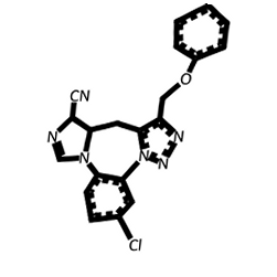 N#CC1N=CN2c3ccc(Cl)cc3-n3nnc(COc4ccccc4)c3CC12